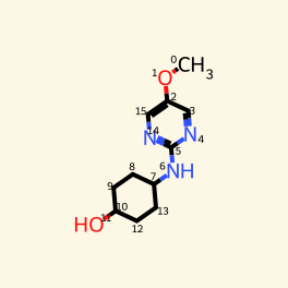 COc1cnc(NC2CCC(O)CC2)nc1